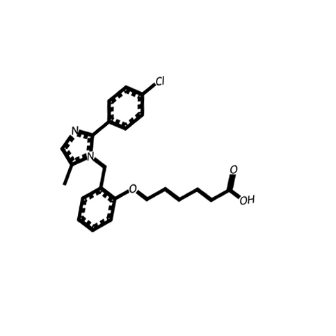 Cc1cnc(-c2ccc(Cl)cc2)n1Cc1ccccc1OCCCCCC(=O)O